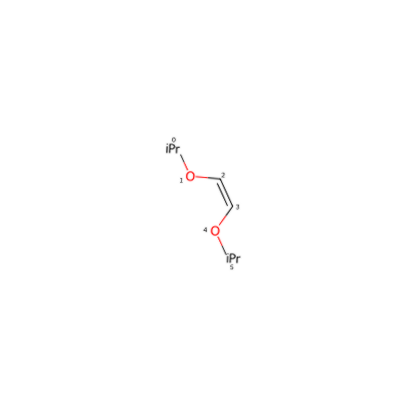 CC(C)O/C=C\OC(C)C